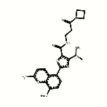 COc1ccc(-c2nc(C(=O)NCCC(=O)N3CCC3)c([C@H](C)N)o2)c2ccc(C(F)(F)F)nc12